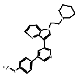 COc1ccc(-c2cncc(-c3cn(CCN4CCCCC4)c4cccnc34)c2)cc1